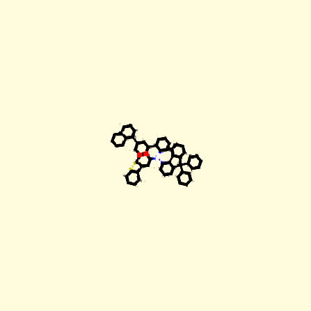 c1ccc(C2(c3ccccc3)c3ccccc3-c3c(N(c4ccc5sc6ccccc6c5c4)c4ccccc4-c4cccc(-c5cccc6ccccc56)c4)cccc32)cc1